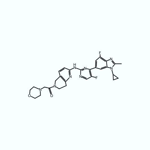 Cc1nc2c(F)cc(-c3nc(Nc4ccc5c(n4)CCN(C(=O)CN4CCOCC4)C5)ncc3F)cc2n1C1CC1